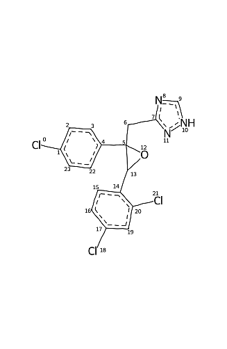 Clc1ccc(C2(Cc3nc[nH]n3)OC2c2ccc(Cl)cc2Cl)cc1